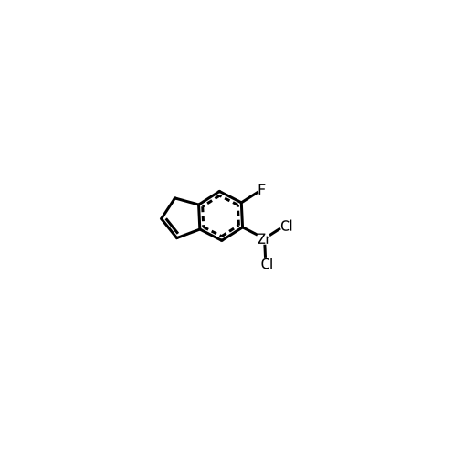 Fc1cc2c(c[c]1[Zr]([Cl])[Cl])C=CC2